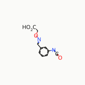 O=C=Nc1cccc(C=NOCC(=O)O)c1